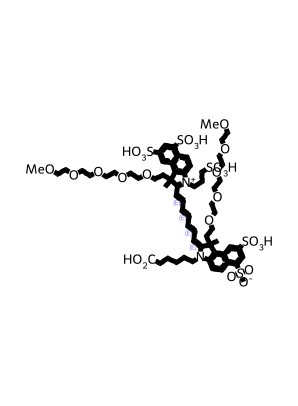 COCCOCCOCCOCCOCCC1(C)C(/C=C/C=C/C=C/C=C2/N(CCCCCC(=O)O)c3ccc4c(S(=O)(=O)[O-])cc(S(=O)(=O)O)cc4c3C2(C)CCOCCOCCOCCOCCOC)=[N+](CCCS(=O)(=O)O)c2ccc3c(S(=O)(=O)O)cc(S(=O)(=O)O)cc3c21